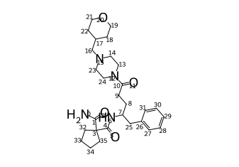 NC(=O)C1(C(=O)NC(CCC(=O)N2CCN(CC3CCOCC3)CC2)Cc2ccccc2)CCCC1